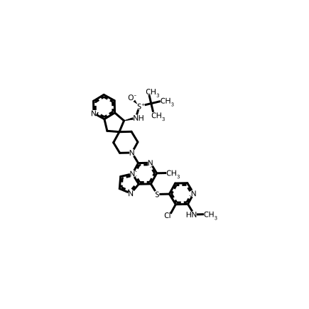 CNc1nccc(Sc2c(C)nc(N3CCC4(CC3)Cc3ncccc3[C@H]4N[S@@+]([O-])C(C)(C)C)n3ccnc23)c1Cl